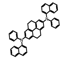 c1ccc(N(c2cc3c4c(c2)CCc2cc(N(c5ccccc5)c5cccc6ccccc56)cc(c2-4)CC3)c2cccc3ccccc23)cc1